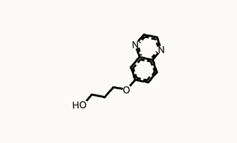 OCCCOc1ccc2nccnc2c1